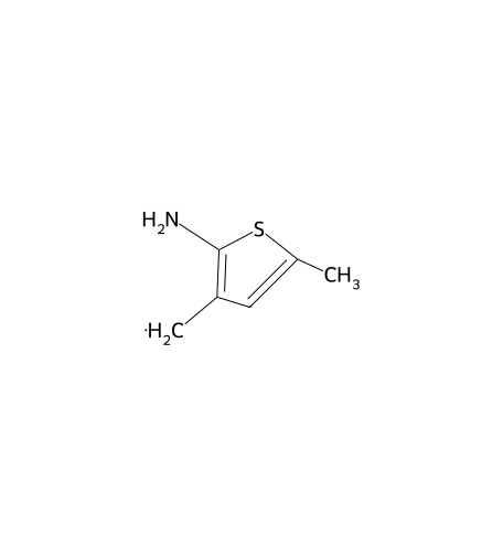 [CH2]c1cc(C)sc1N